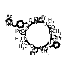 CC(=O)c1cnn(Cc2ccc(C[C@H]3OC(=O)[C@H](CC(C)C)N(C)C(=O)[C@@H](C)OC(=O)[C@H](CC(C)C)N(C)C(=O)[C@@H](Cc4ccccc4)OC(=O)[C@H](CC(C)C)N(C)C(=O)[C@@H](C)OC(=O)[C@H](CC(C)C)N(C)C3=O)cc2)c1